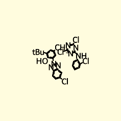 Cc1cc(-n2nc3ccc(Cl)cc3n2)c(O)c(C(C)(C)C)c1.Clc1nc(Cl)nc(Nc2ccccc2Cl)n1